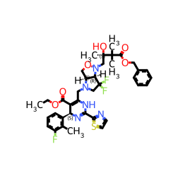 CCOC(=O)C1=C(CN2CC(F)(F)[C@H]3[C@@H]2CON3C[C@@](C)(O)C(C)(C)C(=O)OCc2ccccc2)NC(c2nccs2)=N[C@H]1c1cccc(F)c1C